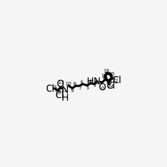 O=C(NCCCCCCCCNC(=O)C(Cl)Cl)c1cccc(Cl)c1Cl